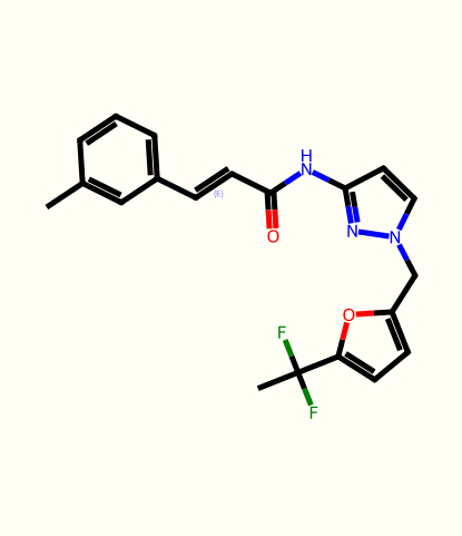 Cc1cccc(/C=C/C(=O)Nc2ccn(Cc3ccc(C(C)(F)F)o3)n2)c1